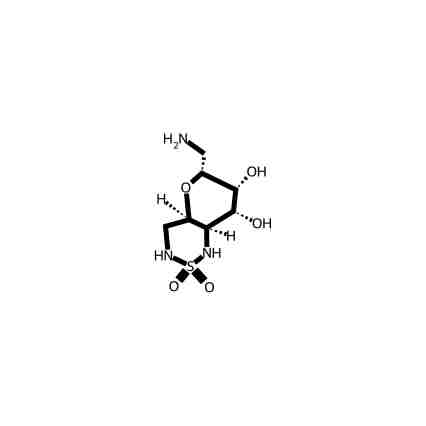 NC[C@H]1O[C@@H]2CNS(=O)(=O)N[C@@H]2[C@@H](O)[C@H]1O